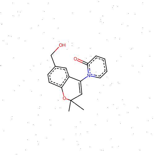 CC1(C)C=C(n2ccccc2=O)c2cc(CO)ccc2O1